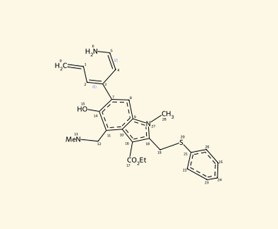 C=C/C=C(\C=C/N)c1cc2c(c(CNC)c1O)c(C(=O)OCC)c(CSc1ccccc1)n2C